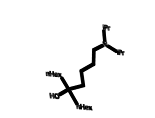 CCCCCCC(O)(CCCCCC)CCCCN(C(C)C)C(C)C